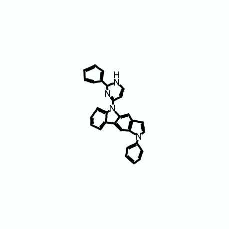 C1=CC(n2c3ccccc3c3cc4c(ccn4-c4ccccc4)cc32)=NC(c2ccccc2)N1